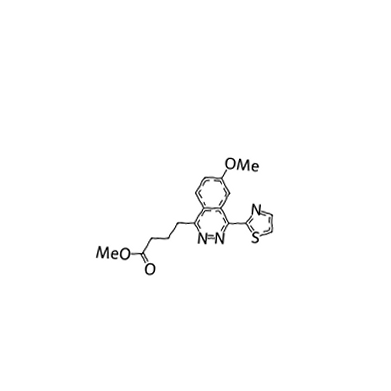 COC(=O)CCCc1nnc(-c2nccs2)c2cc(OC)ccc12